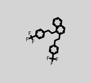 FC(F)(F)c1ccc(CCc2ccc3ccccc3c2CCc2ccc(C(F)(F)F)cc2)cc1